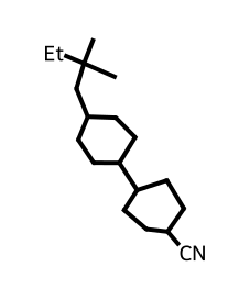 CCC(C)(C)CC1CCC(C2CCC(C#N)CC2)CC1